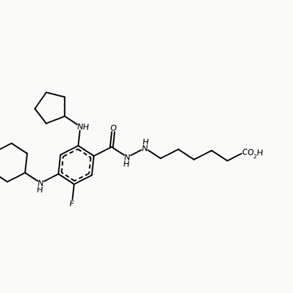 O=C(O)CCCCCNNC(=O)c1cc(F)c(NC2CCCCC2)cc1NC1CCCC1